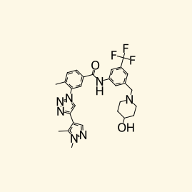 Cc1ccc(C(=O)Nc2cc(CN3CCC(O)CC3)cc(C(F)(F)F)c2)cc1-n1cc(-c2cnn(C)c2C)nn1